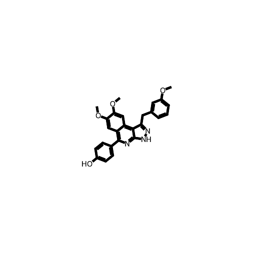 COc1cccc(Cc2n[nH]c3nc(-c4ccc(O)cc4)c4cc(OC)c(OC)cc4c23)c1